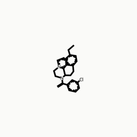 C=C(c1cccc(Cl)c1)N1CCn2cccc2C1CCc1ccc(CC)cc1